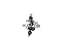 C[C@@H]1CN(c2nnc(-c3ccc(F)cc3)c3ccccc23)[C@@H](C)CN1C(=O)Nc1ccc(F)cc1.Cl